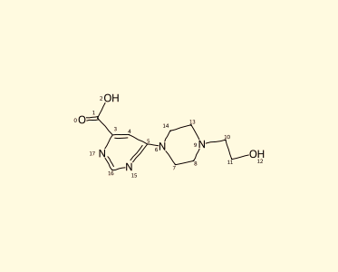 O=C(O)c1cc(N2CCN(CCO)CC2)ncn1